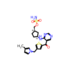 Cc1ccn(Cc2csc(C(=O)c3cncnc3N[C@H]3CC[C@@H](COS(N)(=O)=O)C3)c2)c1